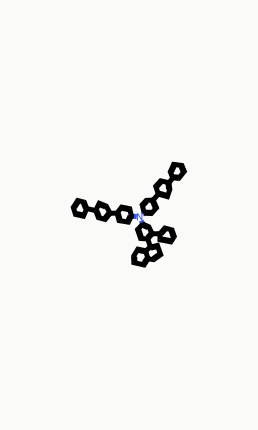 c1ccc(-c2ccc(-c3ccc(N(c4ccc(-c5ccc(-c6ccccc6)cc5)cc4)c4ccc(-c5cccc6ccccc56)c(-c5ccccc5)c4)cc3)cc2)cc1